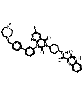 CN1CCCN(Cc2ccc(-c3cccc(-n4c(=O)n(C5CCC(NC(=O)c6nc7ccccc7[nH]c6=O)CC5)c(=O)c5cc(F)cnc54)c3)cc2)CC1